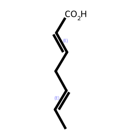 C/C=C/C/C=C/C(=O)O